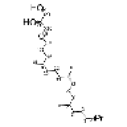 CC(C)CCCC(C)CCCC(C)CCCC(C)CCCOCC(O)CO